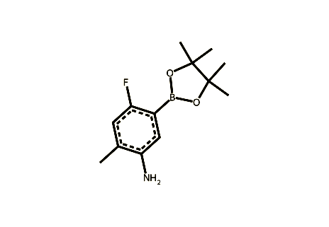 Cc1cc(F)c(B2OC(C)(C)C(C)(C)O2)cc1N